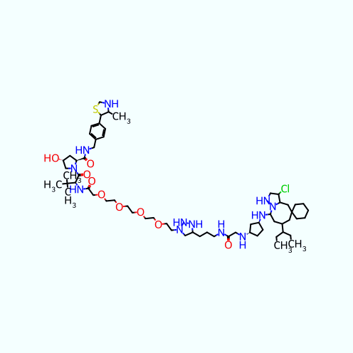 CCC(CC)C1CC(N[C@H]2CC[C@H](NCC(=O)NCCCC3CN(CCOCCOCCOCCOCC(=O)N[C@H](C(=O)N4C[C@H](O)C[C@H]4C(=O)NCc4ccc(C5SCNC5C)cc4)C(C)(C)C)NN3)C2)N2NCC(Cl)C2CC2(CCCCC2)C1